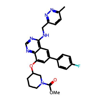 COC(=O)N1CCCC(Oc2cc(-c3ccc(F)cc3)cc3c(NCc4ccc(C)nn4)ncnc23)C1